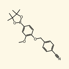 COc1cc(B2OC(C)(C)C(C)(C)O2)ccc1OCc1ccc(C#N)cc1